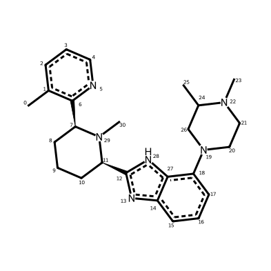 Cc1cccnc1[C@@H]1CCC[C@H](c2nc3cccc(N4CCN(C)C(C)C4)c3[nH]2)N1C